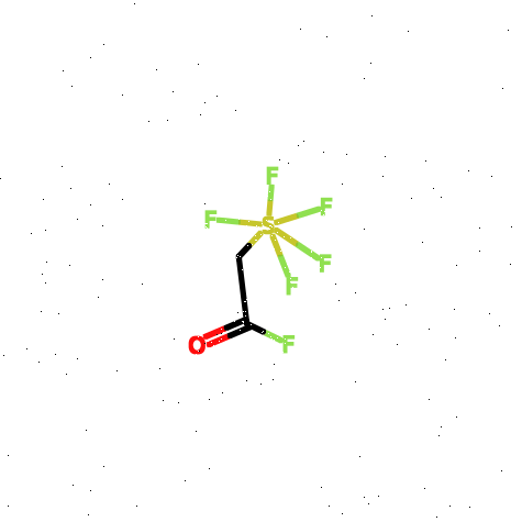 O=C(F)CS(F)(F)(F)(F)F